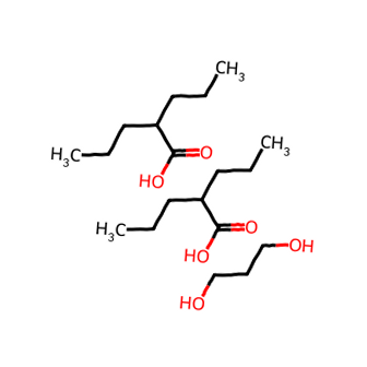 CCCC(CCC)C(=O)O.CCCC(CCC)C(=O)O.OCCCO